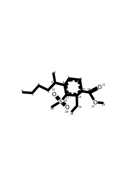 CCCCC(C)c1ccc(C(=O)OC)c(CC)c1S(C)(=O)=O